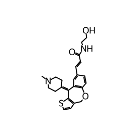 CN1CCC(=C2c3cc(C=CC(=O)NCCO)ccc3OCc3ccsc32)CC1